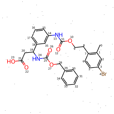 Cc1cc(Br)ccc1CCOC(=O)Nc1cccc(C(CC(=O)O)NC(=O)OCc2ccccc2)c1